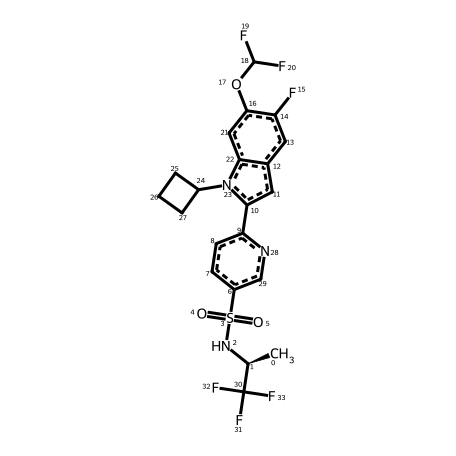 C[C@H](NS(=O)(=O)c1ccc(-c2cc3cc(F)c(OC(F)F)cc3n2C2CCC2)nc1)C(F)(F)F